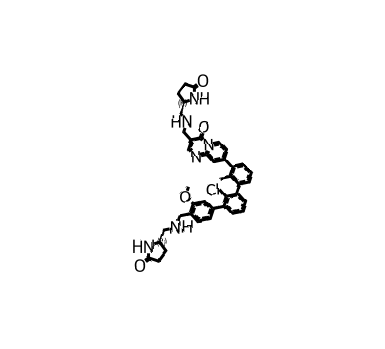 COc1cc(-c2cccc(-c3cccc(-c4ccn5c(=O)c(CNC[C@H]6CCC(=O)N6)cnc5c4)c3C)c2Cl)ccc1CNC[C@H]1CCC(=O)N1